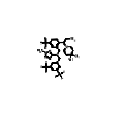 CCC(c1ccc(C(F)(F)F)cc1CN(Cc1cc(C(F)(F)F)cc(C(F)(F)F)c1)c1nnn(C)n1)N1CCC(C)(O)CC1